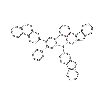 c1ccc(-c2cc(N(c3ccc4c(c3)oc3ccccc34)c3ccc4c(c3)sc3ccccc34)c(-c3ccccc3)cc2-c2ccc3c(ccc4ccccc43)c2)cc1